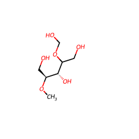 CO[C@@H](CO)[C@@H](O)C(CO)OCO